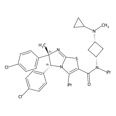 CC(C)C1=C(C(=O)N(C(C)C)[C@H]2C[C@@H](N(C)C3CC3)C2)SC2=N[C@@](C)(c3ccc(Cl)cc3)[C@@H](c3ccc(Cl)cc3)N21